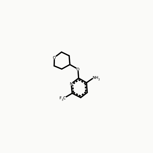 Nc1ccc(C(F)(F)F)nc1OC1CCOCC1